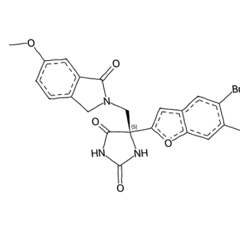 COc1ccc2c(c1)C(=O)N(C[C@@]1(c3cc4cc(Br)c(F)cc4o3)NC(=O)NC1=O)C2